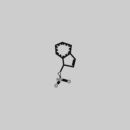 O=[SH](=O)OC1C=Cc2ccccc21